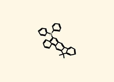 CC1(C)c2ccccc2-c2cc3cc(N(c4ccccc4)c4ccccc4)c4ccccc4c3cc21